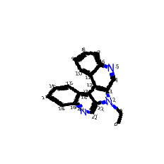 CCn1c2cnc3ccccc3c2c2c3ccccc3ncc21